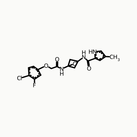 Cc1c[nH]c(C(=O)NC23CC(NC(=O)COc4ccc(Cl)c(F)c4)(C2)C3)c1